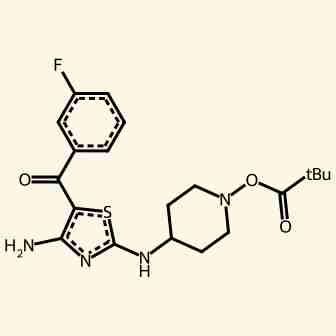 CC(C)(C)C(=O)ON1CCC(Nc2nc(N)c(C(=O)c3cccc(F)c3)s2)CC1